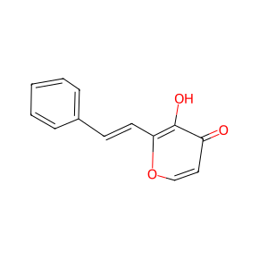 O=c1ccoc(C=Cc2ccccc2)c1O